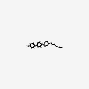 CCCCCCCC1COC(c2ccc(-c3ccc(Cl)cc3)nc2)OC1